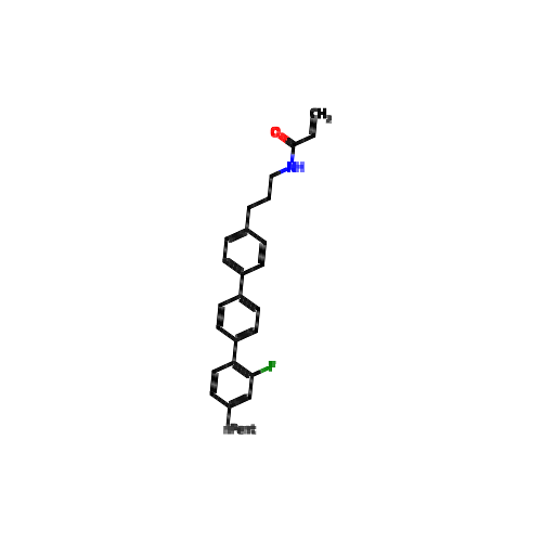 C=CC(=O)NCCCc1ccc(-c2ccc(-c3ccc(CCCCC)cc3F)cc2)cc1